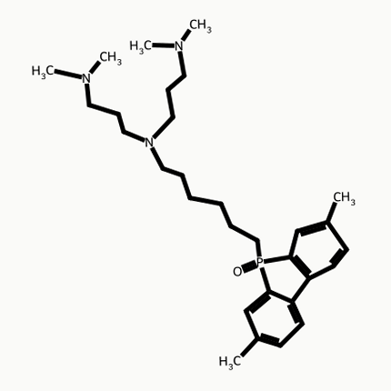 Cc1ccc2c(c1)P(=O)(CCCCCCN(CCCN(C)C)CCCN(C)C)c1cc(C)ccc1-2